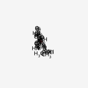 CC1(C)CCC(CN2CCN(c3ccc(C(=O)NS(=O)(=O)c4ccc(NCC5CCOCC5)c([N+](=O)[O-])c4)c(N4c5cc6cc[nH]c6nc5OCCC4C(F)(F)F)c3)CC2)=C(c2ccc(Cl)cc2)C1